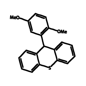 COc1ccc(OC)c(C2c3ccccc3Sc3ccccc32)c1